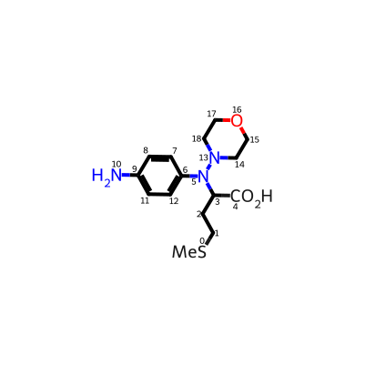 CSCCC(C(=O)O)N(c1ccc(N)cc1)N1CCOCC1